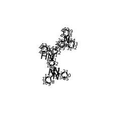 c1ccc(-c2nc(-c3ccccc3)nc(-c3ccc(Nc4ccc(-c5ccc6c(c5)c5ccccc5n6-c5ccccc5)cc4-c4ccccc4)cc3)n2)cc1